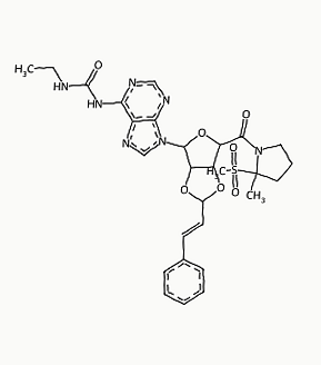 CCNC(=O)Nc1ncnc2c1ncn2C1OC(C(=O)N2CCCC2(C)S(C)(=O)=O)C2OC(C=Cc3ccccc3)OC21